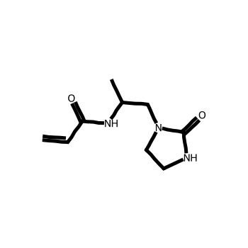 C=CC(=O)NC(C)CN1CCNC1=O